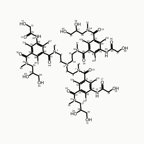 CN(CCN(CCN(C)C(=O)c1c(I)c(NC(=O)CO)c(I)c(C(=O)N(C)CC(O)CO)c1I)CCN(C)C(=O)c1c(I)c(NC(=O)CO)c(I)c(C(=O)N(C)CC(O)CO)c1I)C(=O)c1c(I)c(NC(=O)CO)c(I)c(C(=O)N(C)CC(O)CO)c1I